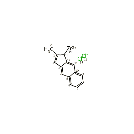 CC1=Cc2cc3ccccc3cc2[CH]1[Zr+2].[Cl-].[Cl-]